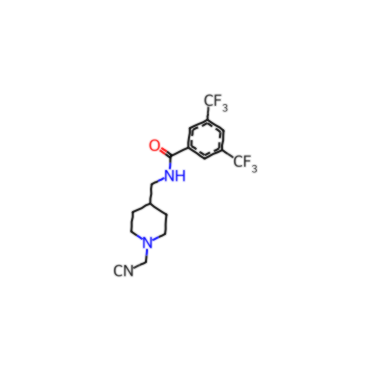 [C-]#[N+]CN1CCC(CNC(=O)c2cc(C(F)(F)F)cc(C(F)(F)F)c2)CC1